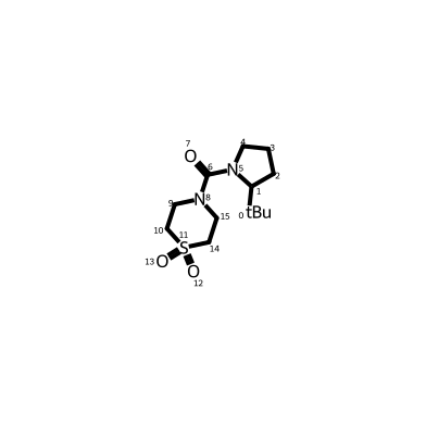 CC(C)(C)C1CCCN1C(=O)N1CCS(=O)(=O)CC1